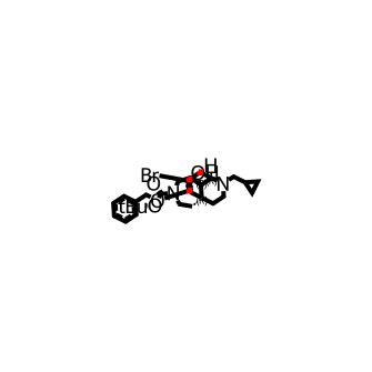 CC(C)(C)OC(=O)N1CC[C@]23CCN(CC4CC4)[C@H](Cc4cc(Br)c(OCc5ccccc5)cc42)[C@]3(O)CC1